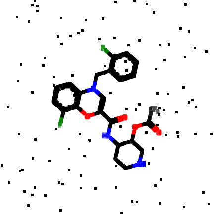 O=C(NC1CCNCC1OC(=O)C(F)(F)F)C1=CN(Cc2ccccc2F)c2cccc(F)c2O1